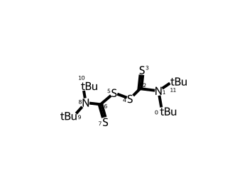 CC(C)(C)N(C(=S)SSC(=S)N(C(C)(C)C)C(C)(C)C)C(C)(C)C